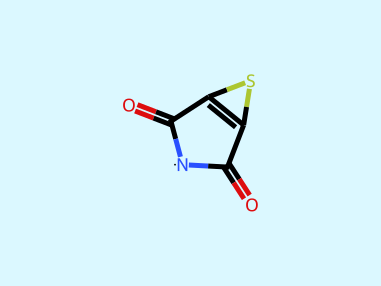 O=C1[N]C(=O)C2=C1S2